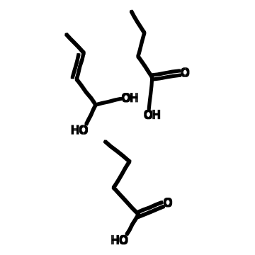 CC=CC(O)O.CCCC(=O)O.CCCC(=O)O